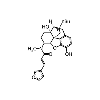 CCCCN1CC[C@]23c4c5ccc(O)c4OC2C(N(C)C(=O)/C=C/c2ccoc2)CC[C@@]3(O)[C@H]1C5